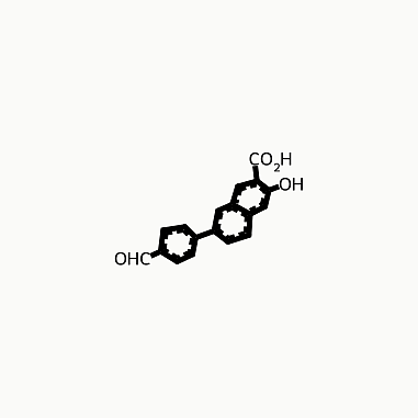 O=Cc1ccc(-c2ccc3cc(O)c(C(=O)O)cc3c2)cc1